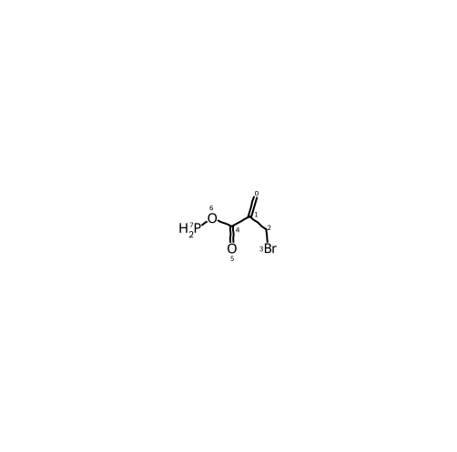 C=C(CBr)C(=O)OP